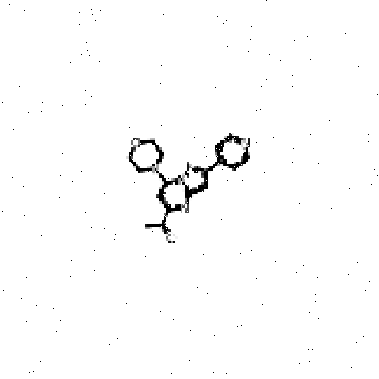 CC(=O)c1cc(N2CCOCC2)n2nc(-c3ccncc3)cc2n1